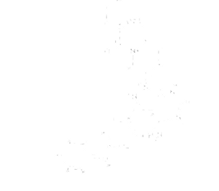 CC(C)CC(N)C(=O)N1CCCC(n2nc(-c3ccc(Oc4ccccc4)cc3)c3c(N)ncnc32)C1